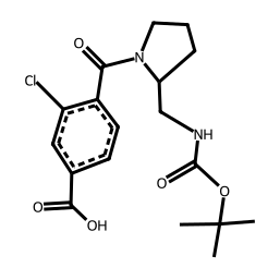 CC(C)(C)OC(=O)NCC1CCCN1C(=O)c1ccc(C(=O)O)cc1Cl